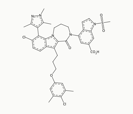 Cc1cc(OCCCc2c3n(c4c(-c5c(C)nn(C)c5C)c(Cl)ccc24)CCCN(c2cc(C(=O)O)cc4c2ccn4S(C)(=O)=O)C3=O)cc(C)c1Cl